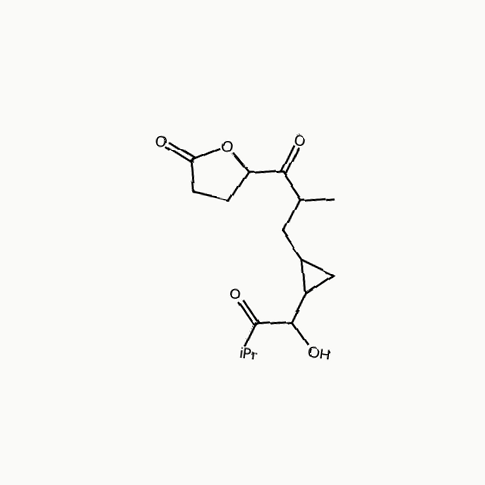 CC(C)C(=O)C(O)C1CC1CC(C)C(=O)C1CCC(=O)O1